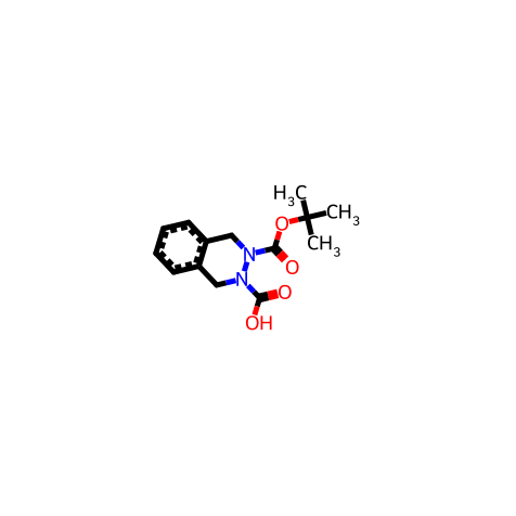 CC(C)(C)OC(=O)N1Cc2ccccc2CN1C(=O)O